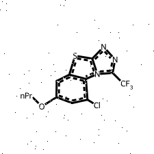 CCCOc1cc(Cl)c2c(c1)sc1nnc(C(F)(F)F)n12